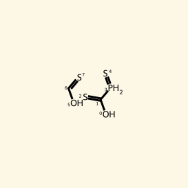 OC(=S)[PH2]=S.OC=S